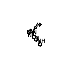 Nc1nccn2c(C3CC(CN4CCC4)C3)nc(-c3ccc4ccc(Nc5ccccc5)nc4c3)c12